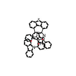 CC1C(c2ccccc2)=NC(c2cccc3sc4cccc(-c5ccc6c(c5)oc5cccc(-n7c8ccccc8c8ccccc87)c56)c4c23)=NC1c1ccccc1